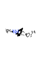 CC(C)CNCC12CCC(C(=O)O)(CC1)C2